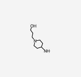 [NH]C1CCN(CCCO)CC1